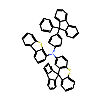 c1ccc(C2(c3ccc(N(c4ccc5c(c4)C4(c6ccccc6S5)c5ccccc5-c5ccccc54)c4cccc5c4sc4ccccc45)cc3)c3ccccc3-c3ccccc32)cc1